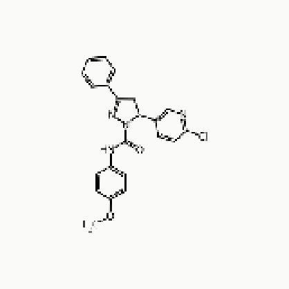 O=C(Nc1ccc(OC(F)(F)F)cc1)N1N=C(c2ccccc2)CC1c1ccc(Cl)nc1